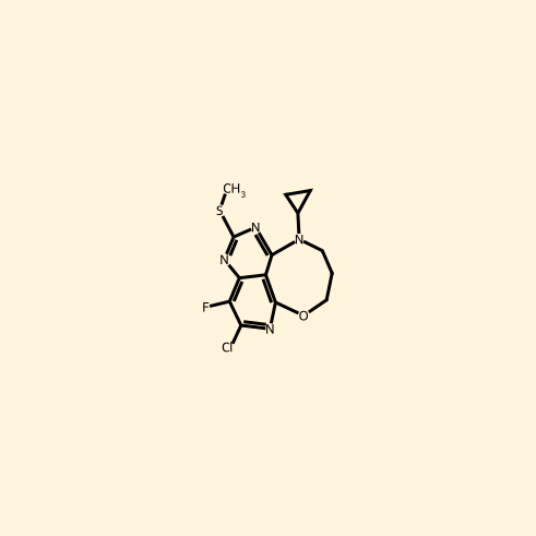 CSc1nc2c3c(nc(Cl)c(F)c3n1)OCCCN2C1CC1